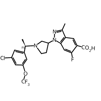 Cc1nn(C2CCN([C@H](C)c3cc(Cl)cc(OC(F)(F)F)c3)C2)c2cc(F)c(C(=O)O)cc12